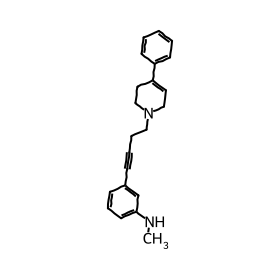 CNc1cccc(C#CCCN2CC=C(c3ccccc3)CC2)c1